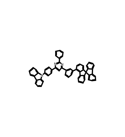 c1ccc(-c2nc(-c3ccc(-n4c5ccccc5c5ccccc54)cc3)cc(-c3cccc(-c4cccc5c4-c4ccccc4C54c5ccccc5-c5ccccc54)c3)n2)cc1